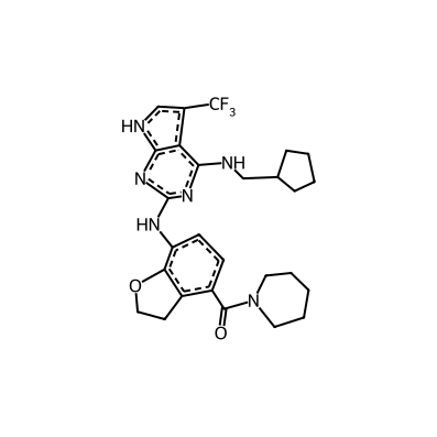 O=C(c1ccc(Nc2nc(NCC3CCCC3)c3c(C(F)(F)F)c[nH]c3n2)c2c1CCO2)N1CCCCC1